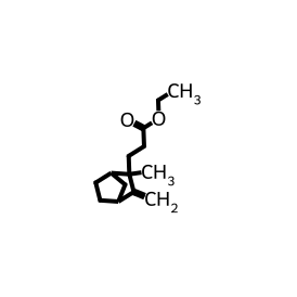 C=C1C2CCC(C2)C1(C)CCC(=O)OCC